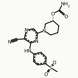 CS(=O)(=O)c1ccc(Nc2nc(N3CCC[C@@H](OC(N)=O)C3)cnc2C#N)cc1